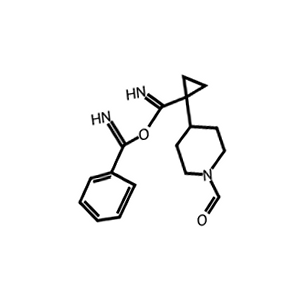 N=C(OC(=N)C1(C2CCN(C=O)CC2)CC1)c1ccccc1